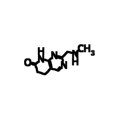 CNCc1ncc2c(n1)NC(=O)CC2